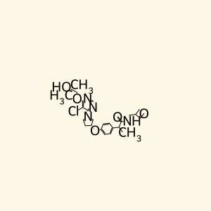 CC(C(=O)NCC1COC1)c1ccc(O[C@@H]2CCN(c3ncnc(OCC(C)(C)O)c3Cl)C2)cc1